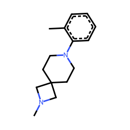 Cc1ccccc1N1CCC2(CC1)CN(C)C2